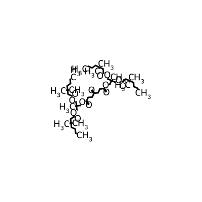 CCCCC(C)(C)CC(=O)OCC(C)(COC(=O)CCC(=O)CCC(=O)OCC(C)(COC(=O)CC(C)(C)CCCC)COC(=O)CC(C)(C)CCCC)COC(=O)CC(C)(C)CCCC